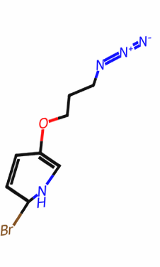 [N-]=[N+]=NCCCOC1=CNC(Br)C=C1